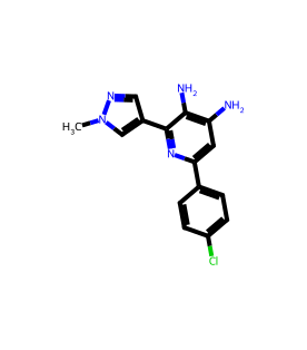 Cn1cc(-c2nc(-c3ccc(Cl)cc3)cc(N)c2N)cn1